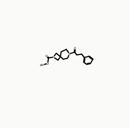 CC(C)(C)OC(=O)N1CC2(CCN(C(=O)CCc3ccccc3)CC2)C1